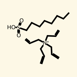 C=CC[N+](CC=C)(CC=C)CC=C.CCCCCCCCS(=O)(=O)O